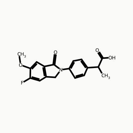 COc1cc2c(cc1F)CN(c1ccc(C(C)C(=O)O)cc1)C2=O